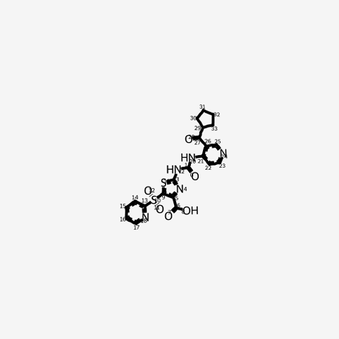 O=C(Nc1nc(C(=O)O)c(S(=O)(=O)c2ccccn2)s1)Nc1ccncc1C(=O)C1CCCC1